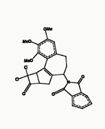 COc1cc2c(c(OC)c1OC)C1=C(CC3C(=O)C(Cl)(Cl)C13)C(N1C(=O)c3ccccc3C1=O)CC2